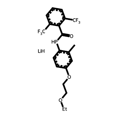 CCOCCOc1ccc(PC(=O)c2c(C(F)(F)F)cccc2C(F)(F)F)c(C)c1.[LiH]